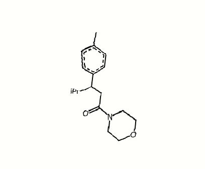 Cc1ccc(C(CC(=O)N2CCOCC2)C(C)C)cc1